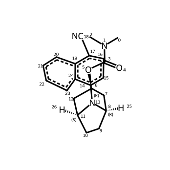 CN(C)C(=O)O[C@H]1C[C@H]2CC[C@@H](C1)N2c1ccc(C#N)c2ccccc12